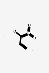 C=CC([O])=S(=O)=O